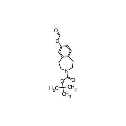 CC(C)(C)OC(=O)N1CCc2ccc(OC=O)cc2CC1